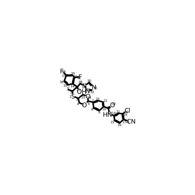 CC(SC1COC(c2ccc(C(=O)Nc3ccc(C#N)c(Cl)c3)cc2)OC1)C(O)(Cn1cncn1)c1ccc(F)cc1F